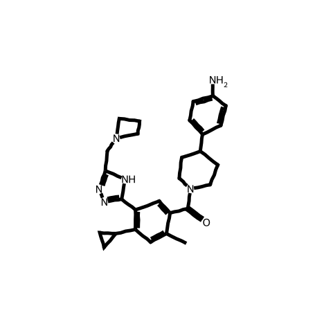 Cc1cc(C2CC2)c(-c2nnc(CN3CCC3)[nH]2)cc1C(=O)N1CCC(c2ccc(N)cc2)CC1